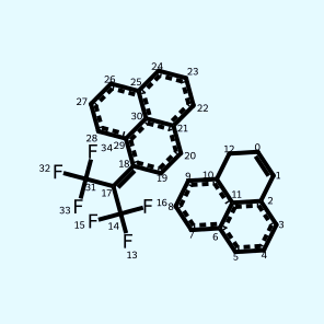 C1=Cc2cccc3cccc(c23)C1.FC(F)(F)C(=c1ccc2cccc3cccc1c32)C(F)(F)F